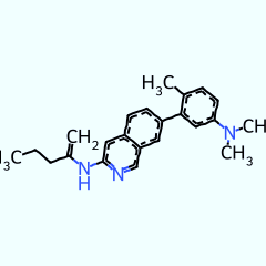 C=C(CCC)Nc1cc2ccc(-c3cc(N(C)C)ccc3C)cc2cn1